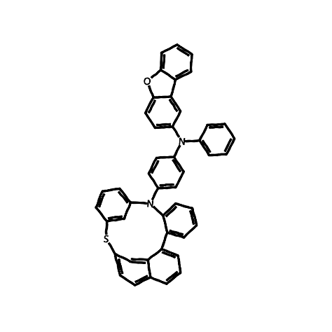 c1ccc(N(c2ccc(-n3c4cccc(c4)sc4ccc5cccc(c5c4)c4ccccc43)cc2)c2ccc3oc4ccccc4c3c2)cc1